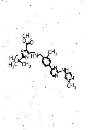 COC(=O)c1sc(C(C)(C)C)nc1CNCc1ccc(-c2ccnc(Nc3cnn(C)c3)n2)cc1C